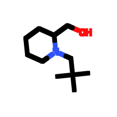 CC(C)(C)CN1CCCCC1CO